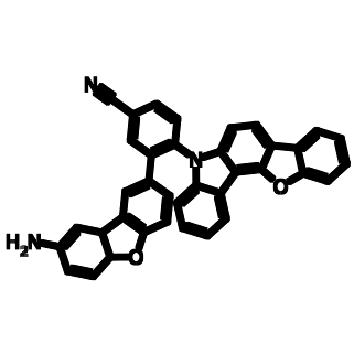 N#Cc1ccc(-n2c3ccccc3c3c4oc5ccccc5c4ccc32)c(-c2ccc3c(c2)C2C=C(N)C=CC2O3)c1